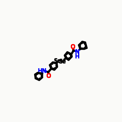 O=C(Nc1ccccc1)c1ccc([Se][Se]c2ccc(C(=O)Nc3ccccc3)cc2)cc1